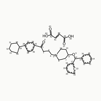 O=C(CCCN1CCC(OC(c2ccccc2)c2ccccc2)CC1)c1ccc(C2CCCCC2)cc1.O=C(O)C=CC(=O)O